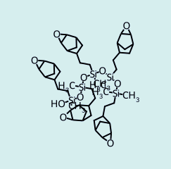 C[Si](C)(CCC1CC2CC1C1OC21)O[Si](C)(CCC1CC2CC1C1OC21)O[Si](C)(CCC1CC2CC1C1OC21)O[Si](C)(CCC1CC2CC1C1OC21)O[Si](C)(O)CCC1CC2CC1C1OC21